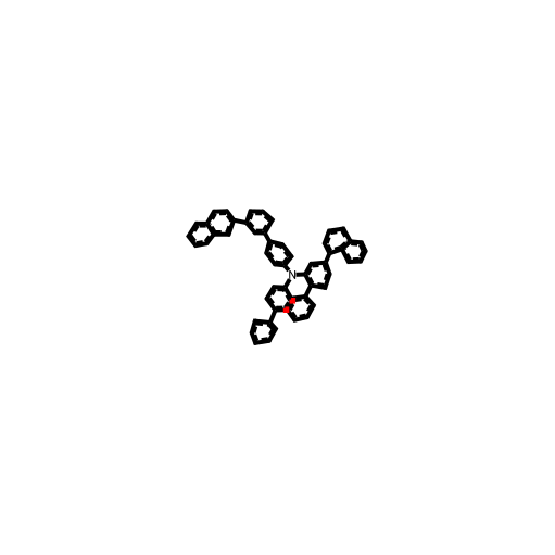 c1ccc(-c2ccc(N(c3ccc(-c4cccc(-c5ccc6ccccc6c5)c4)cc3)c3cc(-c4cccc5ccccc45)ccc3-c3ccccc3)cc2)cc1